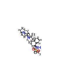 CCOC(=O)N1C2CCC(N3CCC4(CC[C@H](NS(C)(=O)=O)c5ccccc54)CC3)CCC1CC2